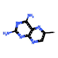 [CH2]c1cnc2nc(N)nc(N)c2n1